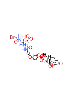 C[C@]12C=CC(=O)C=C1CC[C@@H]1[C@@H]2[C@@H](O)C[C@@]2(C)[C@H]1C[C@H]1O[C@@H](c3ccc(OC45CC(NC(=O)[C@H](CCC(=O)O)NC(=O)CNC(=O)CBr)(C4)C5)cc3)O[C@]12C(=O)CO